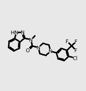 CN(C(=O)N1CCN(c2ccc(Cl)c(C(F)(F)F)c2)CC1)c1n[nH]c2ccccc12